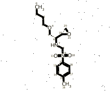 CCCCOC[C@@H](NCS(=O)(=O)c1ccc(C)cc1)[C@@H]1CO1